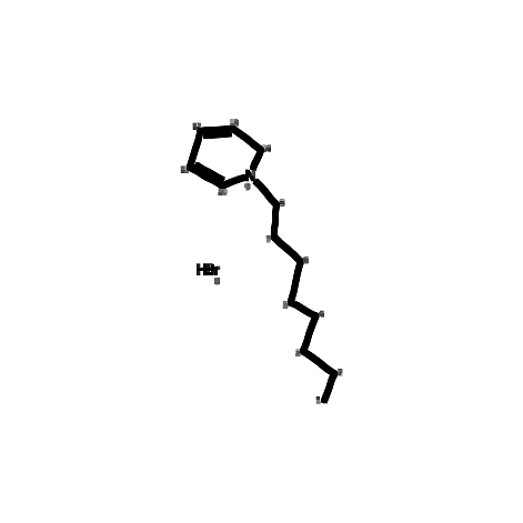 Br.CCCCCCCCN1C=CC=CC1